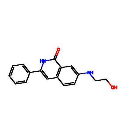 O=c1[nH]c(-c2ccccc2)cc2ccc(NCCO)cc12